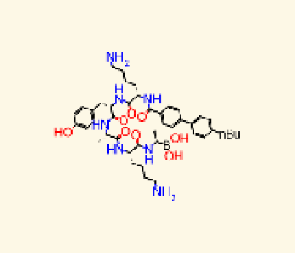 CCCCc1ccc(-c2ccc(C(=O)N[C@@H](CCCCN)C(=O)N[C@@H](Cc3ccc(O)cc3)C(=O)N[C@@H](C)C(=O)N[C@@H](CCCCN)C(=O)N[C@@H](C)B(O)O)cc2)cc1